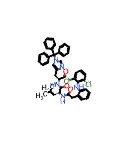 CC(C)C[C@H](NC(=O)Cc1ccccc1Nc1c(Cl)cccc1Cl)C(=O)N[C@H](C=O)Cc1cn(C(c2ccccc2)(c2ccccc2)c2ccccc2)cn1